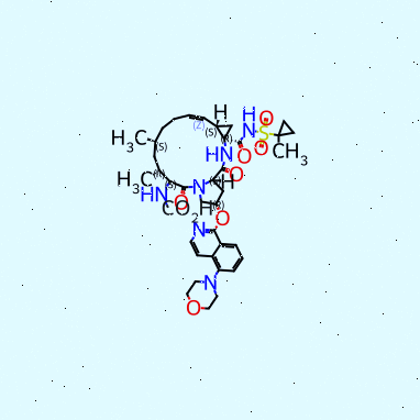 C[C@H]1CC/C=C\[C@@H]2C[C@@]2(C(=O)NS(=O)(=O)C2(C)CC2)NC(=O)[C@@H]2C[C@@H](Oc3nccc4c(N5CCOCC5)cccc34)CN2C(=O)[C@@H](NC(=O)O)[C@H](C)C1